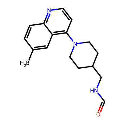 Bc1ccc2nccc(N3CCC(CNC=O)CC3)c2c1